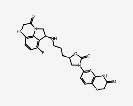 O=C1CSc2ccc(N3C[C@@H](CCCN[C@@H]4CN5C(=O)CNc6ccc(F)c4c65)OC3=O)nc2N1